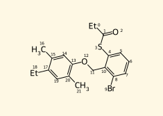 CCC(=O)Sc1cccc(Br)c1COc1cc(C)c(CC)cc1C